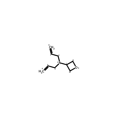 C=CCN(CC=C)C1COC1